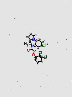 CN(C(=O)COc1cccc(Cl)c1Cl)C1CCCCC1N1CCCC1.Cl